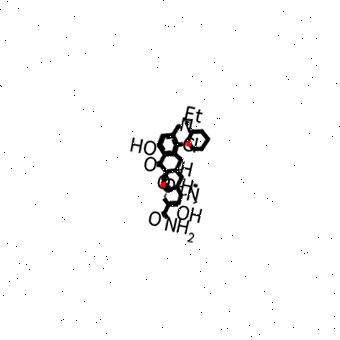 CCN(Cc1cc(O)c2c(c1Cl)C[C@H]1C[C@H]3[C@H](N(C)C)C(O)=C(C(N)=O)C[C@]34OCOC4=C1C2=O)C1CCCCC1